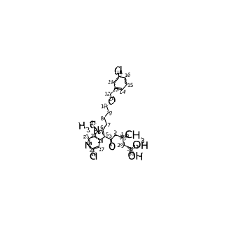 C[C@@H](CC(=O)c1c(CCCCOCc2cccc(Cl)c2)n(C)c2cnc(Cl)cc12)CC(O)O